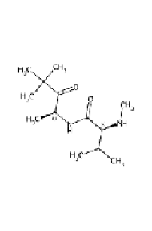 CN[C@H](C(=O)N[C@@H](C)C(=O)C(C)(C)C)C(C)C